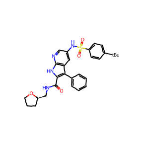 CC(C)(C)c1ccc(S(=O)(=O)Nc2cnc3[nH]c(C(=O)NC[C@H]4CCCO4)c(-c4ccccc4)c3c2)cc1